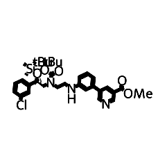 COC(=O)c1cncc(-c2cccc(NCCN(C[C@H](O[Si](C)(C)C(C)(C)C)c3cccc(Cl)c3)C(=O)OC(C)(C)C)c2)c1